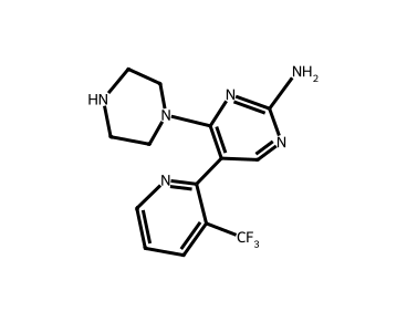 Nc1ncc(-c2ncccc2C(F)(F)F)c(N2CCNCC2)n1